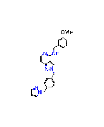 COc1cccc(CNc2nccc3nn(Cc4ccc(Cn5cccn5)cc4)cc23)c1